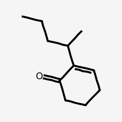 CCCC(C)C1=CCCCC1=O